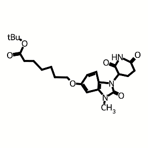 Cn1c(=O)n(C2CCC(=O)NC2=O)c2ccc(OCCCCCCC(=O)OC(C)(C)C)cc21